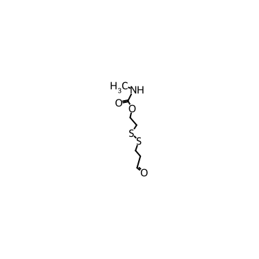 CNC(=O)OCCSSCCC=O